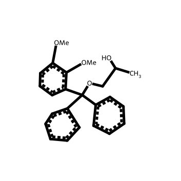 COc1cccc(C(OCC(C)O)(c2ccccc2)c2ccccc2)c1OC